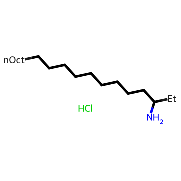 CCCCCCCCCCCCCCCCCC(N)CC.Cl